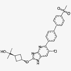 CC(C)(O)[C@H]1C[C@@H](Oc2nc3nc(-c4ccc(-c5ccc(S(C)(=O)=O)cc5)cc4)c(Cl)cc3[nH]2)C1